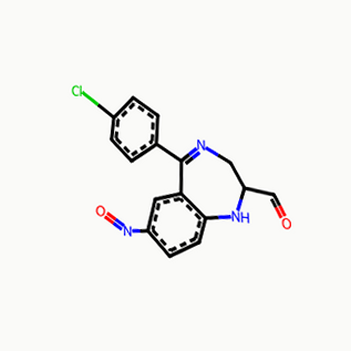 O=CC1CN=C(c2ccc(Cl)cc2)c2cc(N=O)ccc2N1